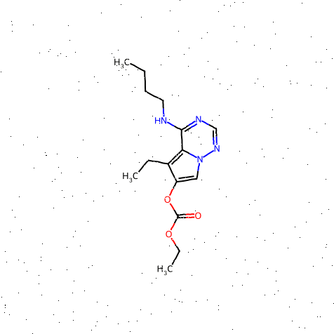 CCCCNc1ncnn2cc(OC(=O)OCC)c(CC)c12